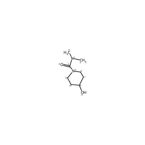 CN(C)C(=O)N1CC[C](O)CC1